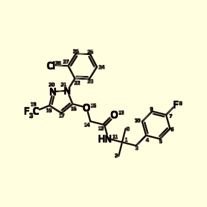 CC(C)(Cc1ccc(F)cc1)NC(=O)COc1cc(C(F)(F)F)nn1-c1ccccc1Cl